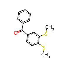 CSc1ccc(C(=O)c2ccccc2)cc1SC